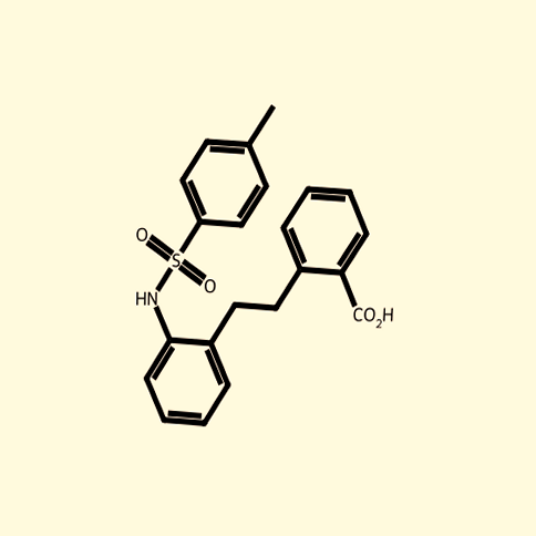 Cc1ccc(S(=O)(=O)Nc2ccccc2CCc2ccccc2C(=O)O)cc1